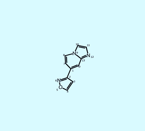 [c]1c(-c2ccon2)ccn2ccnc12